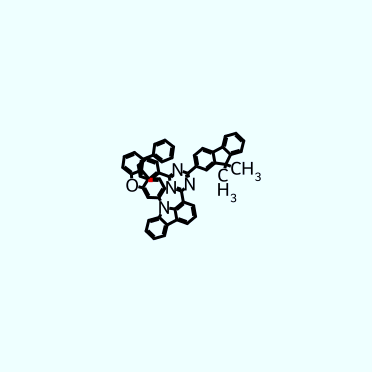 CC1(C)c2ccccc2-c2ccc(-c3nc(-c4ccccc4)nc(-c4cccc5c6ccccc6n(-c6ccc7c(c6)oc6cccc(-c8ccccc8)c67)c45)n3)cc21